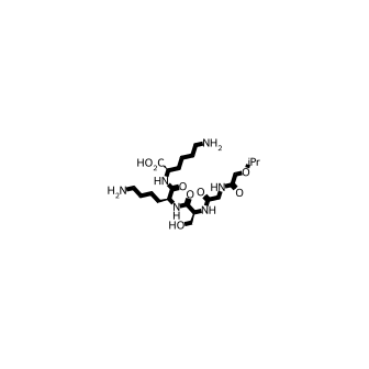 CC(C)OCC(=O)NCC(=O)N[C@@H](CO)C(=O)N[C@@H](CCCCN)C(=O)N[C@@H](CCCCN)C(=O)O